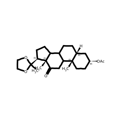 CC(=O)O[C@@H]1CC[C@]2(C)C3CC(=O)[C@@]4(C)C(CC[C@@H]4C4(C)OCCO4)C3CC[C@@H]2C1